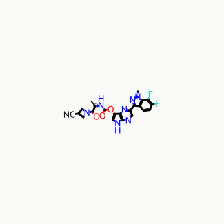 C[C@@H](NC(=O)Oc1c[nH]c2ncc(-c3nn(C)c4c(F)c(F)ccc34)nc12)C(=O)N1CC(C#N)C1